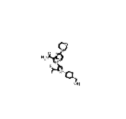 NC(=O)c1cn(-c2cn([C@H]3CC[C@H](CO)CC3)nc2C(F)F)[n+]2ccc(N3CCCOCC3)nc12